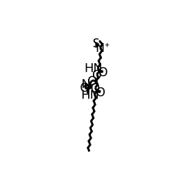 CCCCCCCCCCCCCCCCCNC(=O)OCC(COC(=O)NCCCCC[N+]1=CSCC1)Oc1cc(C)on1